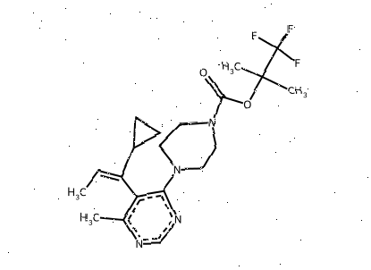 C/C=C(\c1c(C)ncnc1N1CCN(C(=O)OC(C)(C)C(F)(F)F)CC1)C1CC1